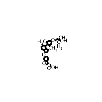 Cc1cc(OCCC(C)(C)O)cc(C)c1-c1cccc2c1CCC2Oc1ccc2c(c1)OC[C@H]2CC(=O)O